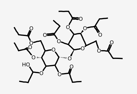 CCC(=O)OCC1O[C@H](O[C@@H]2OC(COC(=O)CC)[C@H](OC(=O)CC)C(OC(=O)CC)C2OC(=O)CC)C(OC(=O)CC)C(OC(O)CC)[C@@H]1OC(=O)CC